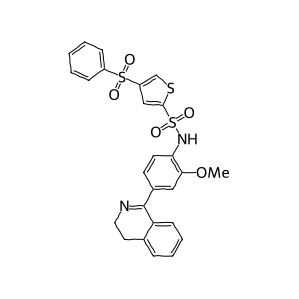 COc1cc(C2=NCCc3ccccc32)ccc1NS(=O)(=O)c1cc(S(=O)(=O)c2ccccc2)cs1